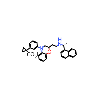 C[C@@H](NCCC1CN(c2cccc(C3(C(=O)O)CC3)c2)c2ccccc2O1)c1cccc2ccccc12